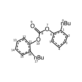 CCCCc1ccccc1OC(=O)Oc1ccccc1CCCC